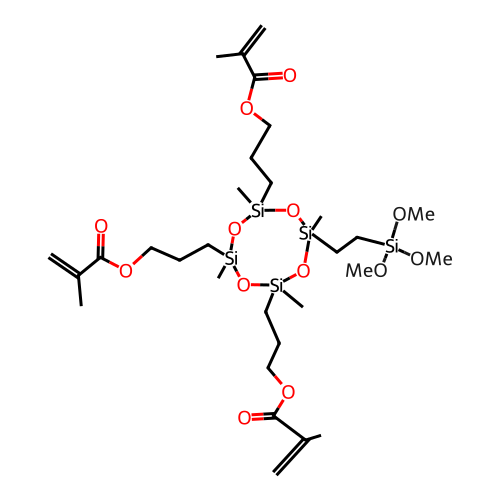 C=C(C)C(=O)OCCC[Si]1(C)O[Si](C)(CCCOC(=O)C(=C)C)O[Si](C)(CC[Si](OC)(OC)OC)O[Si](C)(CCCOC(=O)C(=C)C)O1